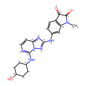 CN1C(=O)C(=O)c2ccc(Nc3nc4ccnc(NC5CCC(O)CC5)n4n3)cc21